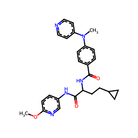 COc1ccc(NC(=O)C(CCC2CC2)NC(=O)c2ccc(N(C)c3ccncc3)cc2)cn1